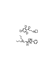 CCCCN(CCCC)CCNc1nc(-c2ccccc2)no1.COc1cc(OC)c(C(=O)CCCN2CCCC2)c(OC)c1